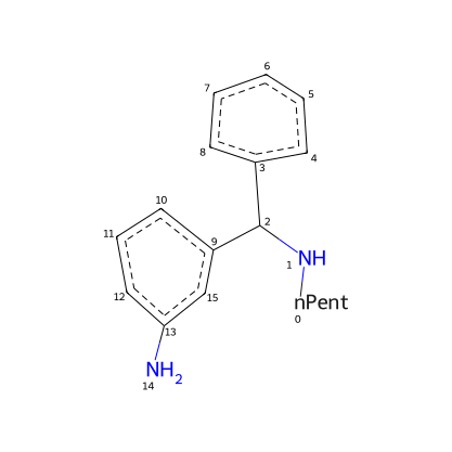 CCCCCNC(c1ccccc1)c1cccc(N)c1